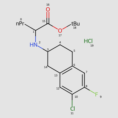 CCCC(NC1CCc2cc(F)c(Cl)cc2C1)C(=O)OC(C)(C)C.Cl